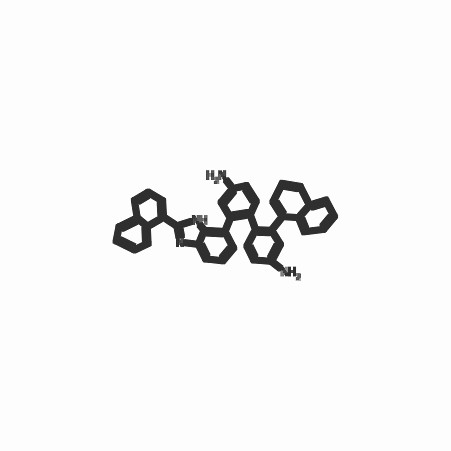 Nc1ccc(-c2ccc(N)cc2-c2cccc3nc(-c4cccc5ccccc45)[nH]c23)c(-c2cccc3ccccc23)c1